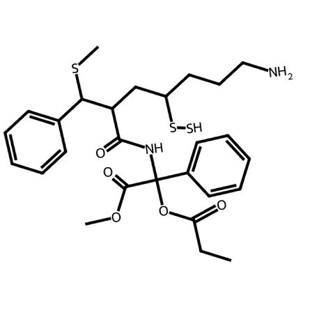 CCC(=O)OC(NC(=O)C(CC(CCCN)SS)C(SC)c1ccccc1)(C(=O)OC)c1ccccc1